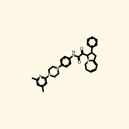 Cc1cc(C)nc(N2CCN(c3ccc(NC(=O)C(=O)C4C(c5ccccc5)CC5=CC=CCCN54)cc3)CC2)c1